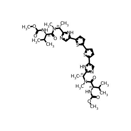 COC(=O)N[C@@H](C(=O)N(C)[C@H](C)c1ncc(-c2ccc(-c3ccc(-c4cnc([C@@H](C)N(C)C(=O)[C@H](NC(=O)OC)C(C)C)[nH]4)s3)s2)[nH]1)C(C)C